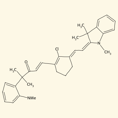 CNc1ccccc1C(C)(C)C(=O)/C=C/C1=C(Cl)C(=C/C=C2/N(C)c3ccccc3C2(C)C)/CCC1